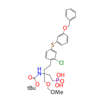 COCOCC(CCc1ccc(Sc2cccc(OCc3ccccc3)c2)cc1Cl)(CCP(=O)(O)O)NC(=O)OC(C)(C)C